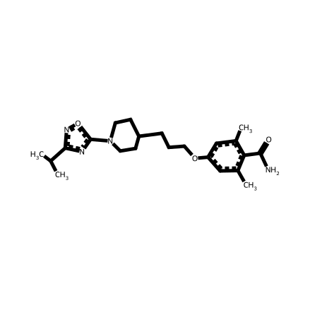 Cc1cc(OCCCC2CCN(c3nc(C(C)C)no3)CC2)cc(C)c1C(N)=O